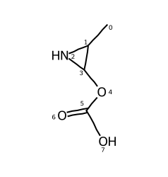 CC1NC1OC(=O)O